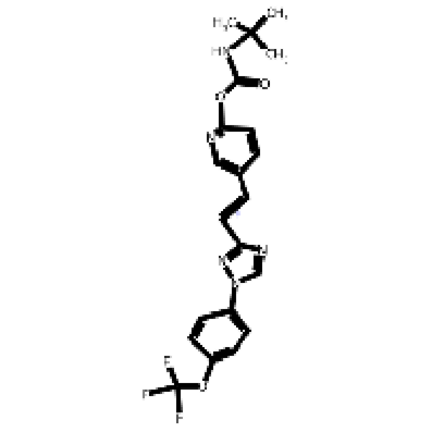 CC(C)(C)NC(=O)Oc1ccc(/C=C/c2ncn(-c3ccc(OC(F)(F)F)cc3)n2)cn1